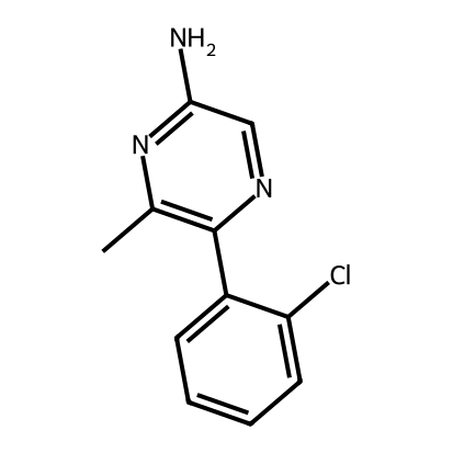 Cc1nc(N)cnc1-c1ccccc1Cl